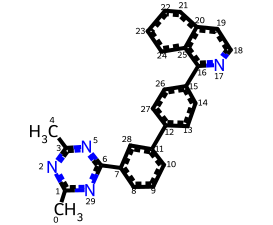 Cc1nc(C)nc(-c2cccc(-c3ccc(-c4nccc5ccccc45)cc3)c2)n1